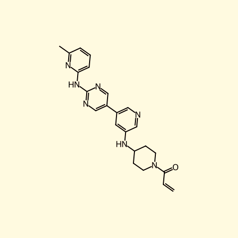 C=CC(=O)N1CCC(Nc2cncc(-c3cnc(Nc4cccc(C)n4)nc3)c2)CC1